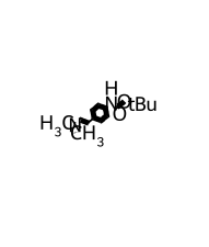 CN(C)CC[C@H]1CC[C@@H](NC(=O)OC(C)(C)C)CC1